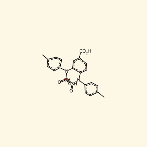 Cc1ccc(N(c2ccc(C(=O)O)cc2N(c2ccc(C)cc2)[SH](=O)=O)[SH](=O)=O)cc1